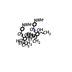 C=CCc1cc(CC=C)c(OCC)c(/C=C/C(=O)c2ccc(NC)cc2)c1O.CCOc1c(C(C)(C)CC)cc(C(C)(C)CC)c(O)c1/C=C/C(=O)c1ccc(NC)cc1